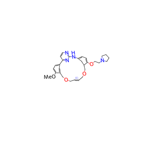 COc1ccc2cc1COC/C=C/COCC1CC(=CC=C1OCCN1CCCC1)Nc1nccc-2n1